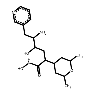 CC1CC(C(CC(O)C(N)Cc2cccnc2)C(=O)NO)CC(C)O1